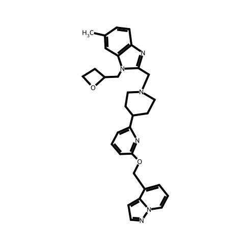 Cc1ccc2nc(CN3CCC(c4cccc(OCc5cccn6nccc56)n4)CC3)n(CC3CCO3)c2c1